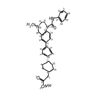 COC(=O)C[C@H]1CC[C@H](c2ccc(-c3ccc4c(c3)CN(C)CCN4C(=O)Nc3ccccc3)cc2)CC1